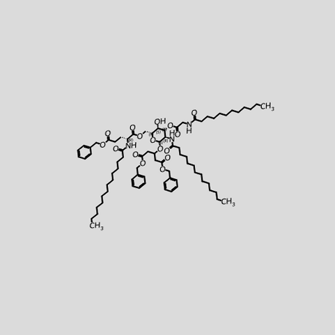 CCCCCCCCCCCCCC(=O)N[C@H]1[C@@H](OC(CC(=O)OCc2ccccc2)CC(=O)OCc2ccccc2)O[C@H](COC(=O)[C@@H](CCC(=O)OCc2ccccc2)NC(=O)CCCCCCCCCCCCC)[C@@H](O)[C@@H]1OC(=O)CNC(=O)CCCCCCCCCCC